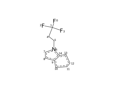 FC(F)(F)CCn1ccc2ccccc21